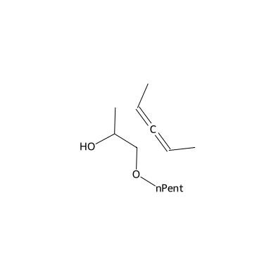 CC=C=CC.CCCCCOCC(C)O